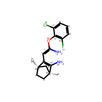 C[C@]12CC[C@H](C1)C(/C=C(\N)Oc1c(F)cccc1Cl)=C2N